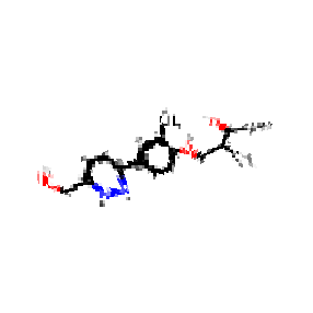 COC(=O)C(C)COc1ccc(-c2ccc(CO)nn2)cc1C